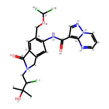 CC(C)(O)C(F)CN1Cc2cc(NC(=O)c3cnn4cccnc34)c(COC(F)F)cc2C1=O